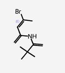 C=C(/C=C(\C)Br)NC(=C)C(C)(C)C